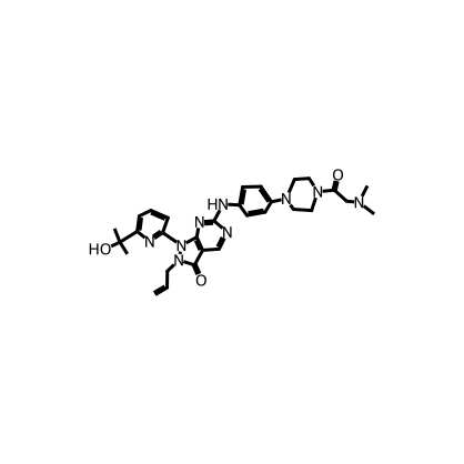 C=CCn1c(=O)c2cnc(Nc3ccc(N4CCN(C(=O)CN(C)C)CC4)cc3)nc2n1-c1cccc(C(C)(C)O)n1